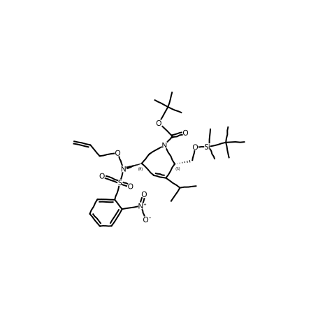 C=CCON([C@@H]1C=C(C(C)C)[C@@H](CO[Si](C)(C)C(C)(C)C)N(C(=O)OC(C)(C)C)C1)S(=O)(=O)c1ccccc1[N+](=O)[O-]